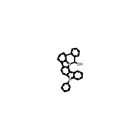 OC1c2ccccc2-c2cccc3c4ccc5c(c6ccccc6n5-c5ccccc5)c4n1c23